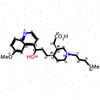 COc1ccc2nccc(C(O)CC[C@@H]3CCN(CCCSC)C[C@@H]3CC(=O)O)c2c1